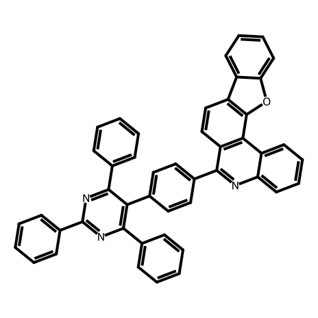 c1ccc(-c2nc(-c3ccccc3)c(-c3ccc(-c4nc5ccccc5c5c4ccc4c6ccccc6oc45)cc3)c(-c3ccccc3)n2)cc1